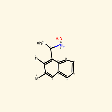 CCCCCC(N)c1c(CC)c(CC)cc2ccccc12.O